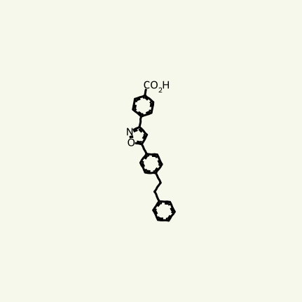 O=C(O)c1ccc(-c2cc(-c3ccc(CCc4ccccc4)cc3)on2)cc1